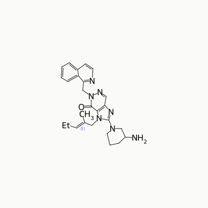 CC/C=C(\C)Cn1c(N2CCCC(N)C2)nc2cnn(Cc3nccc4ccccc34)c(=O)c21